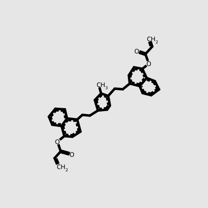 C=CC(=O)Oc1ccc(CCc2ccc(CCc3ccc(OC(=O)C=C)c4ccccc34)c(C)c2)c2ccccc12